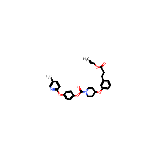 C=CCOC(=O)CCc1cccc(OC2CCN(C(=O)Oc3ccc(Oc4ccc(C(F)(F)F)cn4)cc3)CC2)c1